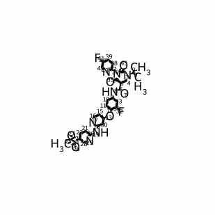 CC(C)n1cc(C(=O)Nc2ccc(Oc3ccnc(Nc4ccc(S(C)(=O)=O)cn4)c3)c(F)c2)c(=O)n(-c2ccc(F)cn2)c1=O